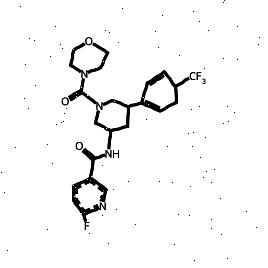 O=C(NC1CC(C2=CCC(C(F)(F)F)C=C2)CN(C(=O)N2CCOCC2)C1)c1ccc(F)nc1